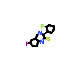 Fc1ccccc1-c1ncc2cc(I)ccc2nc1=S